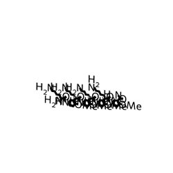 COc1ccc(NC(=O)[C@H](CCCCCN)c2cc(NC(=O)[C@H](CCCCN)c3cc(NC(=O)[C@H](CCCCN)c4cc(NC(=O)[C@@H](N)CCCCN)ccc4OC)ccc3OC)ccc2OC)cc1C(N)=O